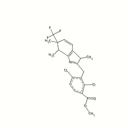 COC(=O)c1ccc(Cl)c(CC2=NC3=C(C=CC(C)(C(F)(F)F)C3C)C2C)c1Cl